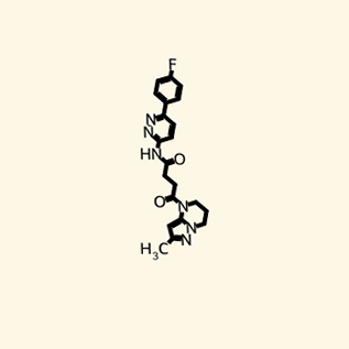 Cc1cc2n(n1)CCCN2C(=O)CCC(=O)Nc1ccc(-c2ccc(F)cc2)nn1